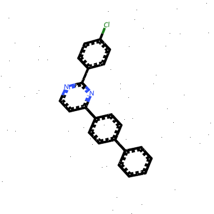 Clc1ccc(-c2nccc(-c3ccc(-c4ccccc4)cc3)n2)cc1